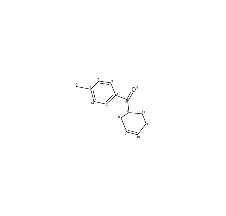 Cc1ccc(C(=O)C2CC=CCC2)cc1